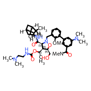 CNC(=O)c1cc(-c2cccc(CN3O[C@@H](CO)[C@@H]([C@H](C)OC(=O)NCCN(C)C)[C@H]3C(=O)N[C@H]3C[C@H]4C[C@@H]([C@@H]3C)C4(C)C)c2OC)cc(N(C)C)c1